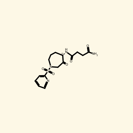 NC(=O)C[CH]C(=O)N[C@H]1CCCN(S(=O)(=O)c2ccccn2)CC1=O